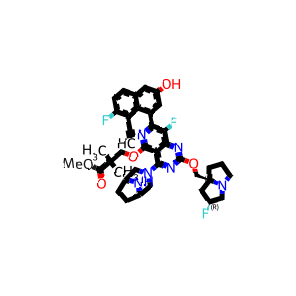 C#Cc1c(F)ccc2cc(O)cc(-c3nc(OCC(C)(C)C(=O)OC)c4c(N5CC6CCC(C5)N6)nc(OC[C@@]56CCCN5C[C@H](F)C6)nc4c3F)c12